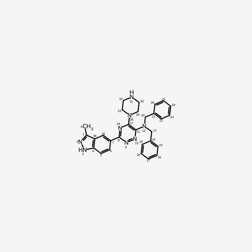 Cc1n[nH]c2ccc(-c3nnc(N(Cc4ccccc4)Cc4ccccc4)c(N4CCNCC4)n3)cc12